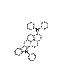 c1ccc(N2c3ccccc3-c3cc4cc5c6ccccc6n(-c6ccccc6)c5c5ccc6ccc2c3c6c45)cc1